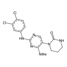 CNc1nc(Nc2ccc(Cl)c(Cl)c2)ncc1N1CCCNC1=O